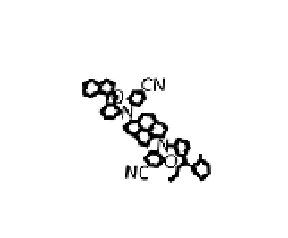 C=Cc1oc2c(N(c3ccc(C#N)cc3)c3ccc4ccc5c(N(c6ccc(C#N)cc6)c6cccc7c6oc6ccc8ccccc8c67)ccc6ccc3c4c65)cccc2c1-c1ccccc1C